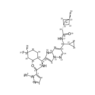 CC(C)n1nccc1C(=O)N[C@H](c1cn2ncc(C(NC(=O)C[C@]34C[C@@](F)(C3)C4)C3CC3)cc2n1)C1CCC(F)(F)CC1